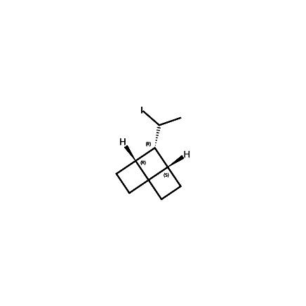 CC(I)[C@H]1[C@H]2CCC23CC[C@@H]13